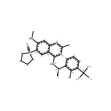 CNc1cc2nc(C)nc(N[C@H](C)c3cccc(C(F)(F)F)c3C)c2cc1P1(=O)CCCC1